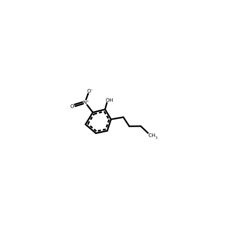 CCCCc1cccc([N+](=O)[O-])c1O